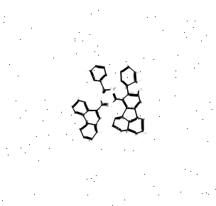 c1ccc(-c2nc(-c3cc4ccccc4c4ccccc34)nc(-c3c4c(cc5sc6ccccc6c35)-c3cccc5cccc-4c35)n2)cc1